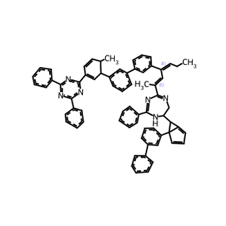 CC/C=C(\C=C(/C)C1=NCC(C2C3=CC=CC32c2cccc(-c3ccccc3)c2)NC(c2ccccc2)=N1)c1cccc(-c2cccc(C3C=C(c4nc(-c5ccccc5)nc(-c5ccccc5)n4)C=CC3C)c2)c1